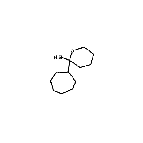 [SiH3]C1(C2CCCCCC2)CCCCO1